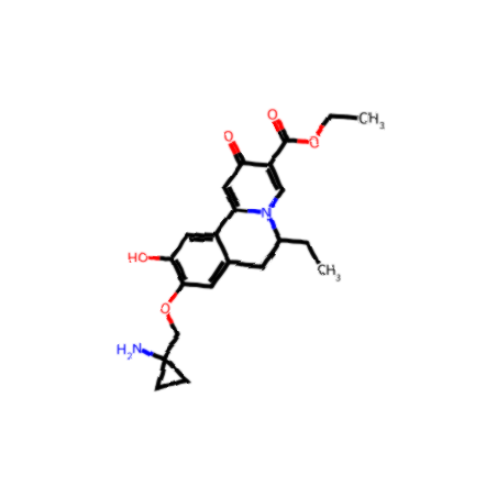 CCOC(=O)c1cn2c(cc1=O)-c1cc(O)c(OCC3(N)CC3)cc1CC2CC